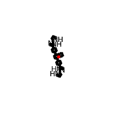 c1cc(-c2ccc(-c3ccc(-c4cnc([C@@H]5CCCN5)[nH]4)cc3)c3c2C2CCC3C2)ccc1-c1cnc([C@@H]2CCCN2)[nH]1